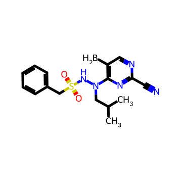 Bc1cnc(C#N)nc1N(CC(C)C)NS(=O)(=O)Cc1ccccc1